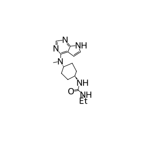 CCNC(=O)N[C@H]1CC[C@H](N(C)c2ncnc3[nH]ccc23)CC1